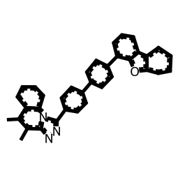 Cc1c(C)c2nnc(-c3ccc(-c4ccc(-c5cccc6c5oc5ccccc56)cc4)cc3)n2c2ccccc12